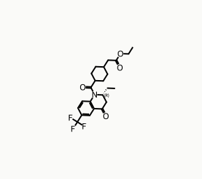 CCOC(=O)CC1CCC(C(=O)N2c3ccc(C(F)(F)F)cc3C(=O)C[C@H]2CC)CC1